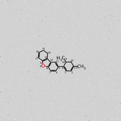 CC1=CC=C(c2ccc3oc4c(c3c2)CCC=C4)C(C)C1